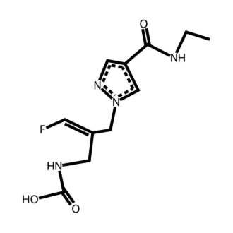 CCNC(=O)c1cnn(CC(=CF)CNC(=O)O)c1